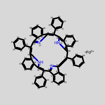 [Pd+2].c1ccc(-c2c3nc(c(-c4ccccc4)c4[nH]c(c(-c5ccccc5)c5nc(c(-c6ccccc6)c6[nH]c2c2ccccc62)-c2ccccc2-5)c2ccccc42)-c2ccccc2-3)cc1